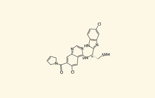 CSC[C@H](Nc1ncnc2cc(C(=O)N3CC=CC3)c(Cl)cc12)c1nc2cc(Cl)ccc2[nH]1